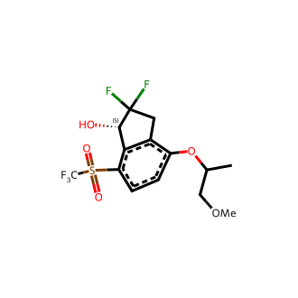 COCC(C)Oc1ccc(S(=O)(=O)C(F)(F)F)c2c1CC(F)(F)[C@H]2O